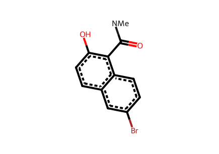 CNC(=O)c1c(O)ccc2cc(Br)ccc12